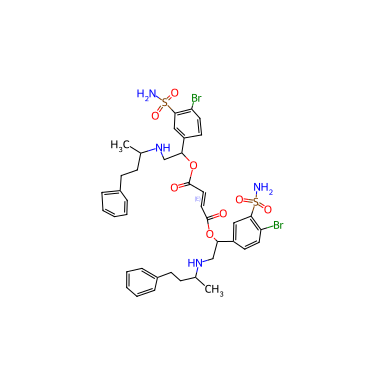 CC(CCc1ccccc1)NCC(OC(=O)/C=C/C(=O)OC(CNC(C)CCc1ccccc1)c1ccc(Br)c(S(N)(=O)=O)c1)c1ccc(Br)c(S(N)(=O)=O)c1